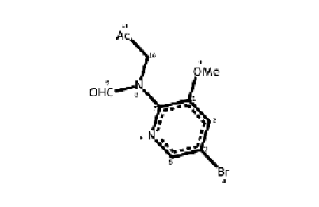 COc1cc(Br)cnc1N(C=O)CC(C)=O